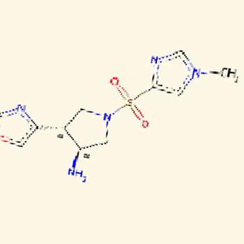 Cn1cnc(S(=O)(=O)N2C[C@@H](N)[C@H](c3cocn3)C2)c1